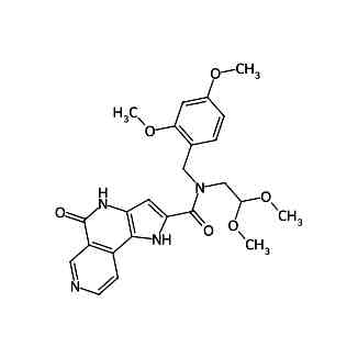 COc1ccc(CN(CC(OC)OC)C(=O)c2cc3[nH]c(=O)c4cnccc4c3[nH]2)c(OC)c1